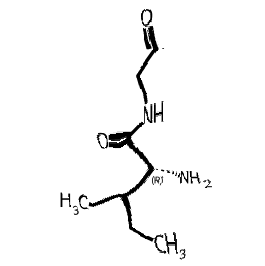 CCC(C)[C@@H](N)C(=O)NC[C]=O